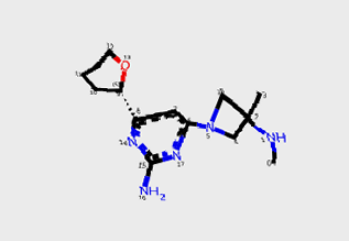 CNC1(C)CN(c2cc([C@@H]3CCCO3)nc(N)n2)C1